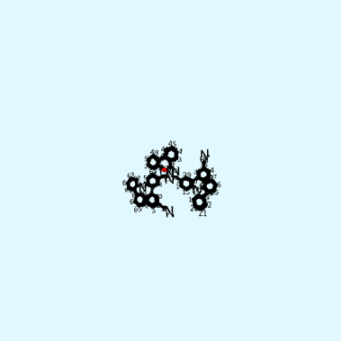 N#Cc1cccc(-c2cc(-c3nc(-c4ccc(-n5c6ccccc6c6ccccc65)c(-c5cccc(C#N)c5)c4)nc(-c4ccccc4-c4ccccc4C#N)n3)ccc2-n2c3ccccc3c3ccccc32)c1